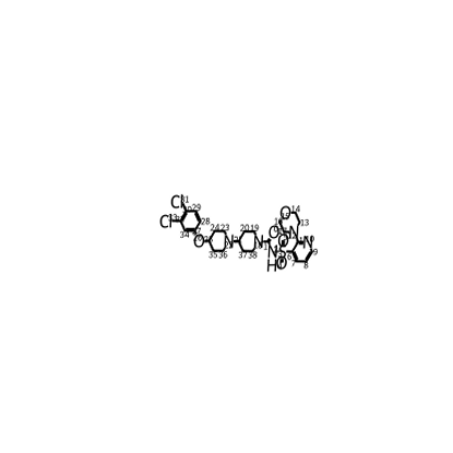 O=C(NS(=O)(=O)c1cccnc1N1CCOCC1)N1CCC(N2CCC(Oc3ccc(Cl)c(Cl)c3)CC2)CC1